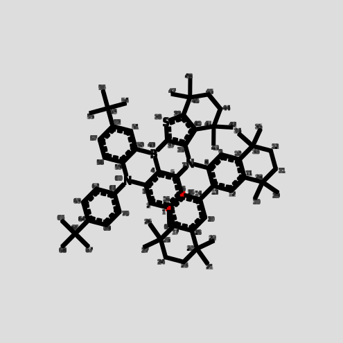 Cc1cc2c3c(c1)N(c1cc4c(cc1-c1ccc5c(c1)C(C)(C)CCC5(C)C)C(C)(C)CCC4(C)C)c1c(sc4c1C(C)(C)CCC4(C)C)B3c1cc(C(C)(C)C)ccc1N2c1ccc(C(C)(C)C)cc1